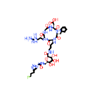 N=C(N)NCCC[C@@H]1NC(=O)[C@H](CCCCNC(=O)C2O[C@H](CNC(=O)Cn3cc(CCCF)nn3)C(O)C(O)[C@@H]2O)NC(=O)[C@@H](Cc2ccccc2)NC(=O)[C@H](CC(=O)O)NC(=O)CNC1=O